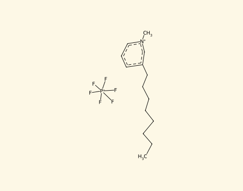 CCCCCCCCc1ccc[n+](C)c1.F[P-](F)(F)(F)(F)F